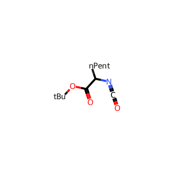 CCCCCC(N=C=O)C(=O)OC(C)(C)C